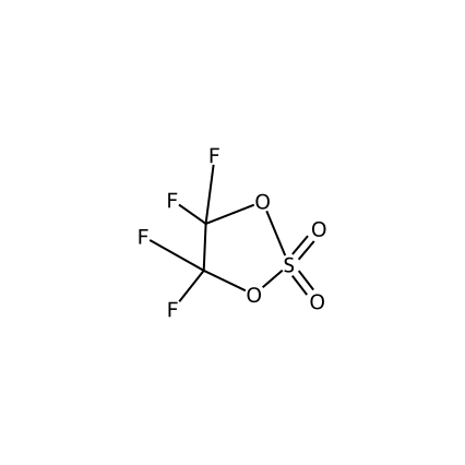 O=S1(=O)OC(F)(F)C(F)(F)O1